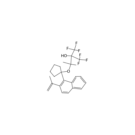 C=C(C)c1ccc2ccccc2c1C1(OC(C)(C)C(O)(C(F)(F)F)C(F)(F)F)CCCC1